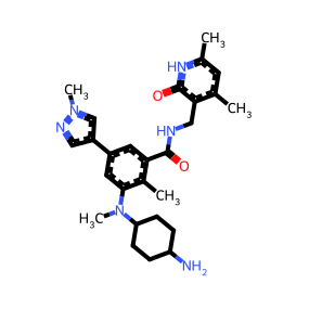 Cc1cc(C)c(CNC(=O)c2cc(-c3cnn(C)c3)cc(N(C)C3CCC(N)CC3)c2C)c(=O)[nH]1